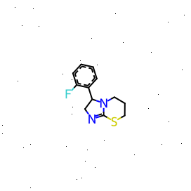 Fc1ccccc1C1CN=C2SCCCN21